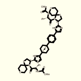 COC(=O)N[C@H](C(=O)N1[C@H](c2ncc(-c3ccc(C45CCC(c6cnc([C@@H]7CSC8(CCOCC8)N7C(=O)[C@@H](NC(=O)OC)C(C)C)[nH]6)(CC4)CC5)cc3)[nH]2)CSC12CCOCC2)C(C)C